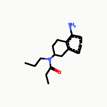 CCCN(C(=O)CC)C1CCc2c(N)cccc2C1